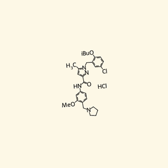 COc1cc(NC(=O)c2cc(C)n(Cc3cc(Cl)ccc3OCC(C)C)n2)ccc1CN1CCCC1.Cl